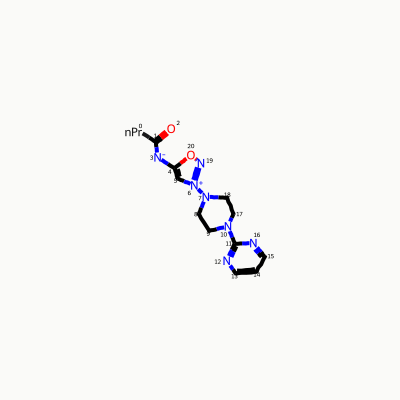 CCCC(=O)[N-]c1c[n+](N2CCN(c3ncccn3)CC2)no1